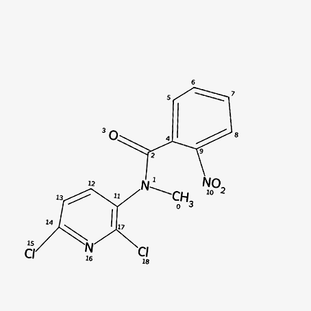 CN(C(=O)c1ccccc1[N+](=O)[O-])c1ccc(Cl)nc1Cl